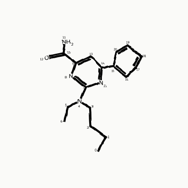 CCCCN(CC)c1nc(C(N)=O)cc(-c2ccccc2)n1